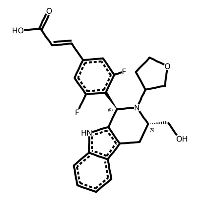 O=C(O)C=Cc1cc(F)c([C@@H]2c3[nH]c4ccccc4c3C[C@@H](CO)N2C2CCOC2)c(F)c1